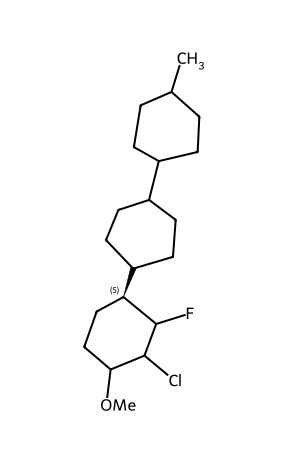 COC1CC[C@@H](C2CCC(C3CCC(C)CC3)CC2)C(F)C1Cl